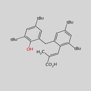 CC(=Cc1c(Cc2cc(C(C)(C)C)cc(C(C)(C)C)c2O)cc(C(C)(C)C)cc1C(C)(C)C)C(=O)O